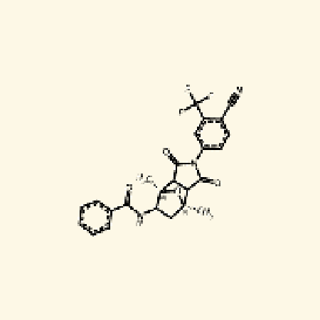 C[C@]12O[C@](C)(CC1NC(=O)c1ccccc1)C1C(=O)N(c3ccc(C#N)c(C(F)(F)F)c3)C(=O)C12